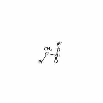 C.CC(C)O[PH](=O)OC(C)C